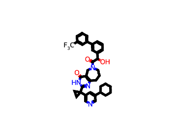 O=C(C(O)c1cccc(-c2cccc(C(F)(F)F)c2)c1)N1CCCc2nc(C3(c4cncc(C5CCCCC5)c4)CC3)[nH]c(=O)c2C1